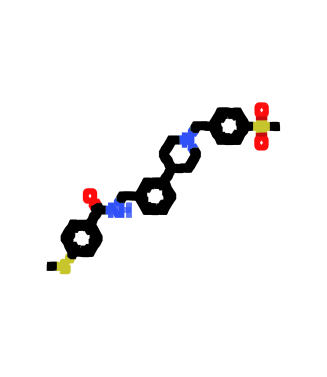 CSc1ccc(C(=O)NCc2cccc(C3CCN(Cc4ccc(S(C)(=O)=O)cc4)CC3)c2)cc1